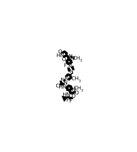 C[C@H]1CN(c2ncc(Cl)c(Nc3ccc4c(c3)c3c(c(=O)n4C)OCC(F)(F)[C@H](C4CC4)N3)n2)CC[C@H]1CN1CCN(c2cc3c(cc2F)c(C2CCC(=O)NC2=O)nn3C)CC1